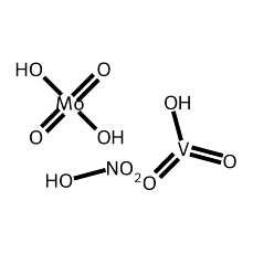 O=[N+]([O-])O.[O]=[Mo](=[O])([OH])[OH].[O]=[V](=[O])[OH]